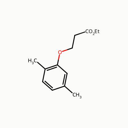 CCOC(=O)CCOc1cc(C)ccc1C